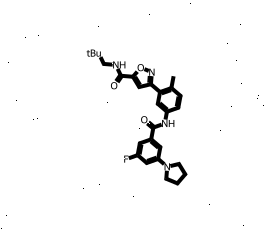 Cc1ccc(NC(=O)c2cc(F)cc(N3CCCC3)c2)cc1-c1cc(C(=O)NCC(C)(C)C)on1